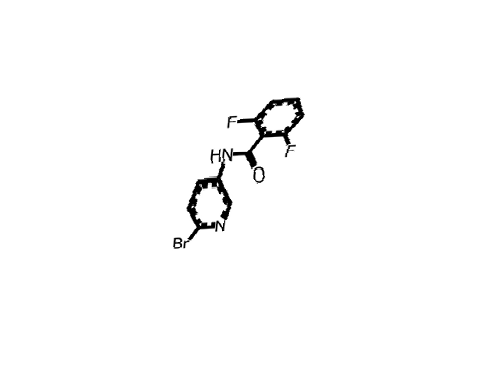 O=C(Nc1ccc(Br)nc1)c1c(F)cccc1F